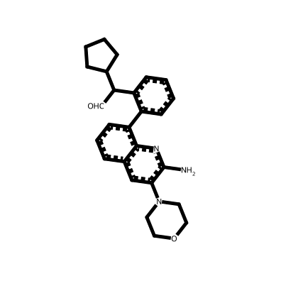 Nc1nc2c(-c3ccccc3C(C=O)C3CCCC3)cccc2cc1N1CCOCC1